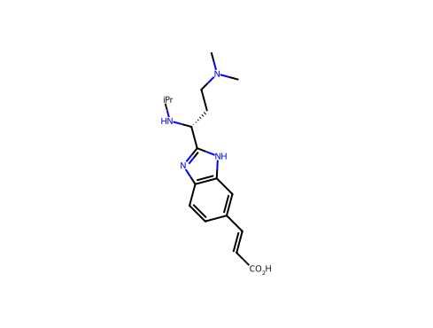 CC(C)N[C@H](CCN(C)C)c1nc2ccc(/C=C/C(=O)O)cc2[nH]1